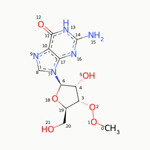 COO[C@H]1[C@@H](O)[C@H](n2cnc3c(=O)[nH]c(N)nc32)O[C@@H]1CO